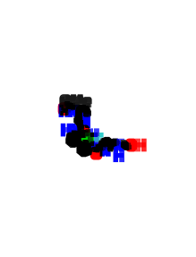 COC(=O)CNC1CCCn2nc(C(=O)Nc3cccc(-c4cccc(NC(=O)c5ncc(CNCCO)cc5F)c4Cl)c3Cl)cc21